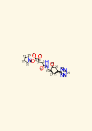 O=C(CCC(=O)C(=O)ON1CCCC1)NCC1=CC=C(c2nncnn2)CC1=O